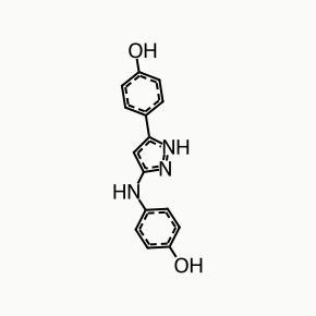 Oc1ccc(Nc2cc(-c3ccc(O)cc3)[nH]n2)cc1